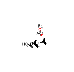 C=C(C)C(=O)O.C=C(C)C(=O)O.CC(=O)[O-].CC(=O)[O-].[Mg+2]